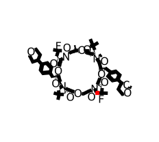 C[C@H]1OC(=O)[C@H](CC(C)(C)C)N(C)C(=O)[C@@H](Cc2ccc(C3CCOCC3)cc2)OC(=O)[C@H](CC(C)(C)F)N(C)C(=O)COC(=O)[C@H](CC(C)(C)C)N(C)C(=O)[C@@H](Cc2ccc(C3CCOCC3)cc2)OC(=O)[C@H](CC(C)(C)F)N(C)C1=O